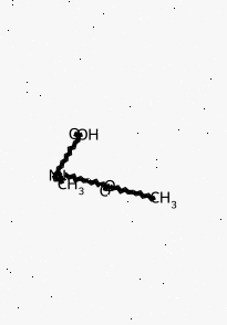 CCCCCCCCCCCCOC(=O)CCCCCCCCCCCN1C(CCCCCCCCCCC(=O)O)=NCC1C